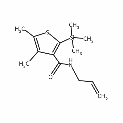 C=CCNC(=O)c1c([Si](C)(C)C)sc(C)c1C